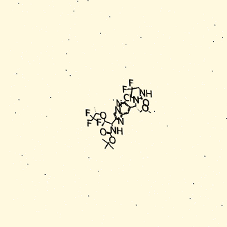 COC[C@H](c1cc2nc([C@@H](NC(=O)OC(C)(C)C)[C@@H](C)O[C@@H](C)C(F)(F)F)cn2nc1Cl)N1CC(F)(F)CNC1=O